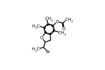 CC(=O)Oc1c(C)c(C)c2c(c1C)CC(C(C)Br)O2